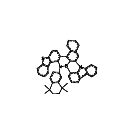 CC1(C)CCC(C)(C)c2cc(N3B4c5c(cc6ccccc6c5-c5ccc6sc7ccccc7c6c53)-n3c5ccccc5c5cccc4c53)ccc21